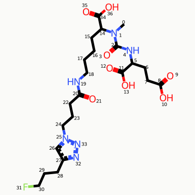 CN(C(=O)NC(CCC(=O)O)C(=O)O)C(CCCCNC(=O)CCCn1cc(CCCF)nn1)C(=O)O